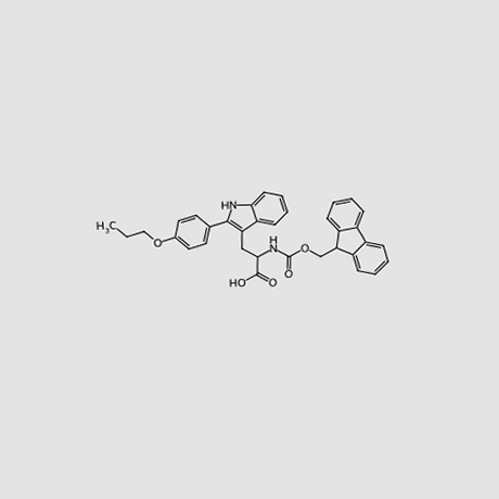 CCCOc1ccc(-c2[nH]c3ccccc3c2CC(NC(=O)OCC2c3ccccc3-c3ccccc32)C(=O)O)cc1